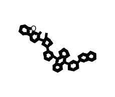 Cc1ccc(-c2cccc(-c3c4ccccc4c(-c4cccc(-c5ccc6ccccc6c5)c4)c4ccccc34)c2)cc1-c1ccc2c(oc3ccccc32)c1C